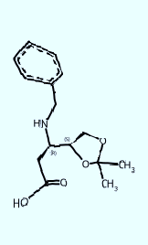 CC1(C)OC[C@H]([C@@H](CC(=O)O)NCc2ccccc2)O1